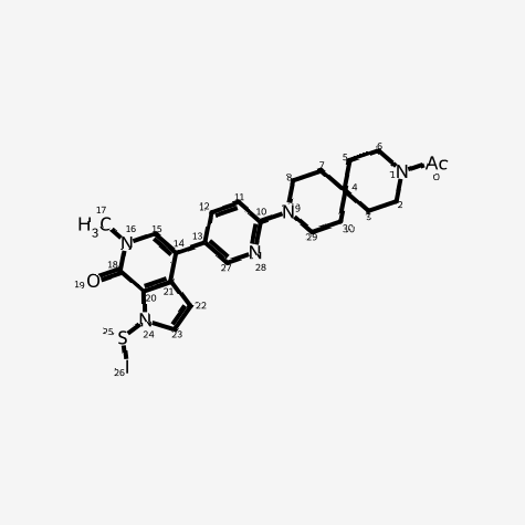 CC(=O)N1CCC2(CC1)CCN(c1ccc(-c3cn(C)c(=O)c4c3ccn4SI)cn1)CC2